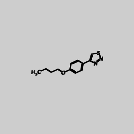 CCCCOc1ccc(-c2csnn2)cc1